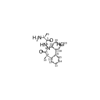 C[C@H](N)C(=O)NN1C(=O)[C@H](C)c2ccccc2-c2ccccc21.Cl